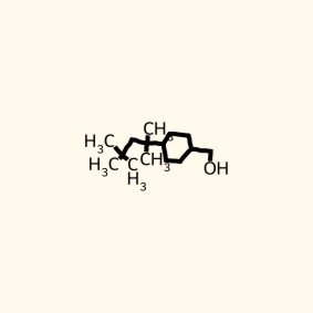 CC(C)(C)CC(C)(C)C1CCC(CO)CC1